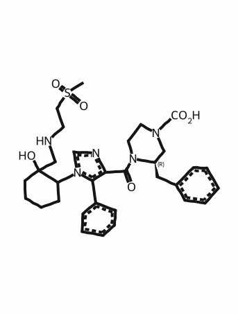 CS(=O)(=O)CCNCC1(O)CCCCC1n1cnc(C(=O)N2CCN(C(=O)O)C[C@H]2Cc2ccccc2)c1-c1ccccc1